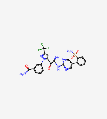 N=C(Nc1ncc(-c2ccccc2S(N)(=O)=O)cn1)C(=O)c1cc(C(F)(F)F)nn1-c1cccc(C(N)=O)c1